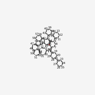 C1#CC2=C(C(N(c3ccc(-c4ccccc4)cc3)c3ccc(-c4ccccc4)cc3)=CC1)c1ccc(-c3ccccc3)cc1C21C2=C(C=CC3=CC=CCC32)c2ccccc21